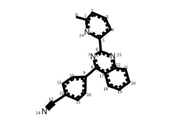 Cc1cccc(-c2nc(-c3ccc(C#N)cc3)c3ccccc3n2)n1